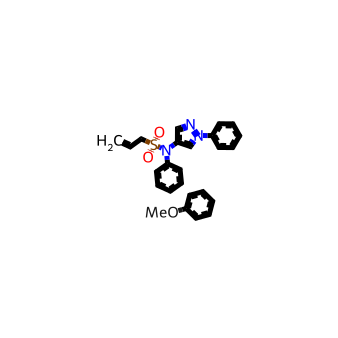 C=CCS(=O)(=O)N(c1ccccc1)c1cnn(-c2ccccc2)c1.COc1ccccc1